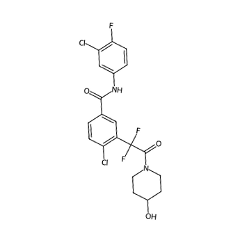 O=C(Nc1ccc(F)c(Cl)c1)c1ccc(Cl)c(C(F)(F)C(=O)N2CCC(O)CC2)c1